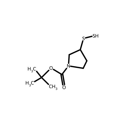 CC(C)(C)OC(=O)N1CCC(SS)C1